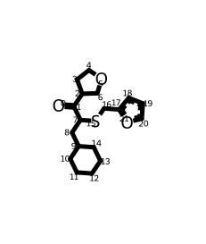 O=C(C1CCOC1)C(CC1CCCCC1)SCc1ccco1